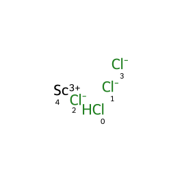 Cl.[Cl-].[Cl-].[Cl-].[Sc+3]